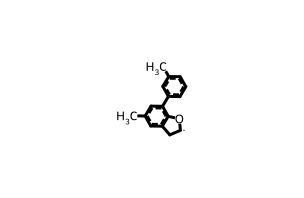 Cc1cccc(-c2cc(C)cc3c2O[CH]C3)c1